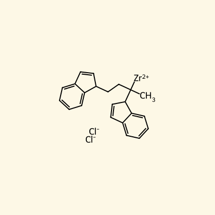 C[C]([Zr+2])(CCC1C=Cc2ccccc21)C1C=Cc2ccccc21.[Cl-].[Cl-]